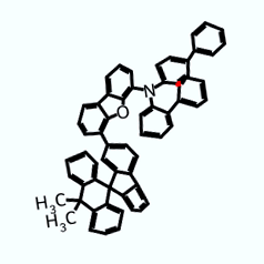 CC1(C)c2ccccc2C2(c3ccccc3-c3ccc(-c4cccc5c4oc4c(N(c6ccc(-c7ccccc7)cc6)c6ccccc6-c6ccccc6)cccc45)cc32)c2ccccc21